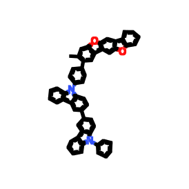 Cc1cc2oc3cc4c(cc3c2cc1-c1ccc(-n2c3ccccc3c3cc(-c5ccc6c(c5)c5ccccc5n6-c5ccccc5)ccc32)cc1)oc1ccccc14